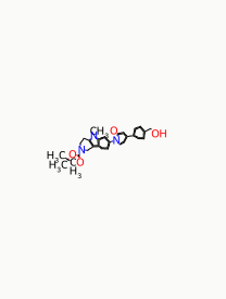 Cn1c2c(c3ccc(-n4ccc(-c5ccc(CO)cc5)cc4=O)cc31)CN(C(=O)OC(C)(C)C)CC2